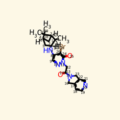 C[C@@H]1[C@H]2C[C@@H](C[C@H]1Nc1cnn(CC(=O)N3Cc4ccncc4C3)c(=O)c1Br)C2(C)C